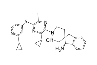 Cc1nc(N2CCC3(CC2)Cc2ccccc2[C@H]3N)c(C2(O)CC2)nc1Sc1ccnc(C2CC2)c1